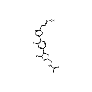 CC(=O)NCC1CN(c2ccc(-c3nnc(CC=NO)s3)c(F)c2)C(=O)O1